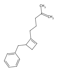 C=C(C)CCCC1=CCC1Cc1ccccc1